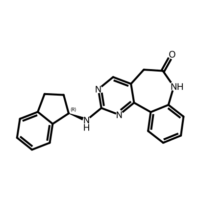 O=C1Cc2cnc(N[C@@H]3CCc4ccccc43)nc2-c2ccccc2N1